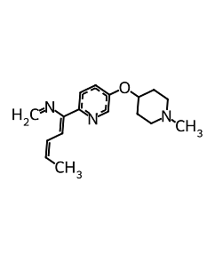 C=N/C(=C\C=C/C)c1ccc(OC2CCN(C)CC2)cn1